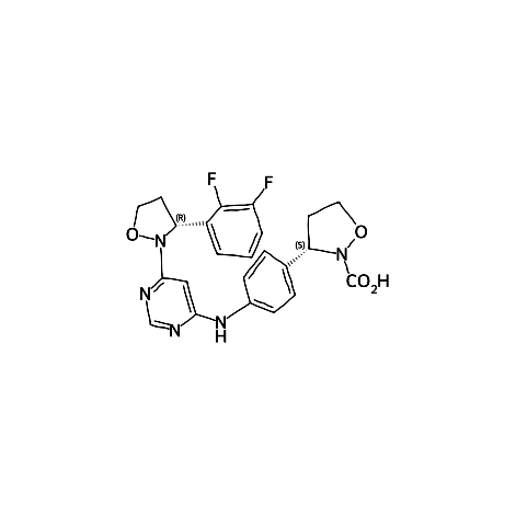 O=C(O)N1OCC[C@H]1c1ccc(Nc2cc(N3OCC[C@@H]3c3cccc(F)c3F)ncn2)cc1